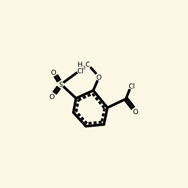 COc1c(C(=O)Cl)cccc1S(=O)(=O)Cl